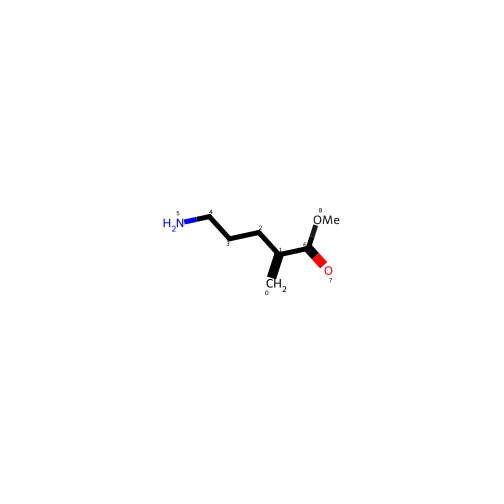 C=C(CCCN)C(=O)OC